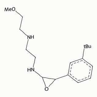 COCCNCCNC1OC1c1cccc(C(C)(C)C)c1